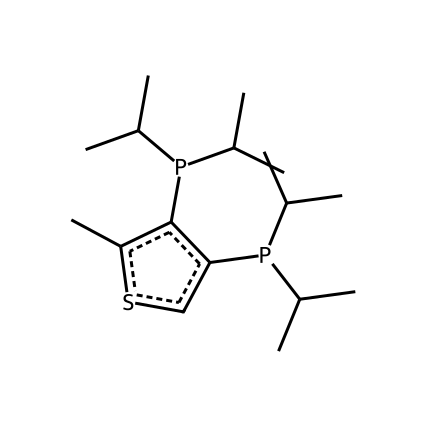 Cc1scc(P(C(C)C)C(C)C)c1P(C(C)C)C(C)C